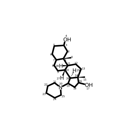 C[C@]12CC(O)CCC1CC[C@@H]1[C@H]2CC[C@]2(C)C(O)CC(N3CCCCC3)[C@@H]12